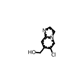 OCc1cc2nccn2cc1Cl